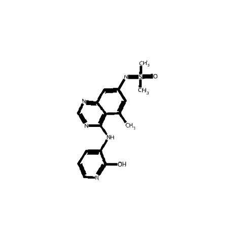 Cc1cc(N=S(C)(C)=O)cc2ncnc(Nc3cccnc3O)c12